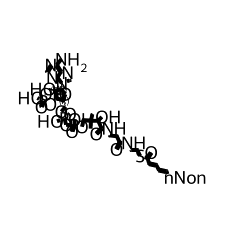 CCCCCCCCCC=CC=CC(=O)SCCNC(=O)CCNC(=O)C(O)C(C)(C)COP(=O)(O)OP(=O)(O)OC[C@H]1O[C@@H](n2cnc3c(N)ncnc32)[C@H](O)[C@@H]1OP(=O)(O)O